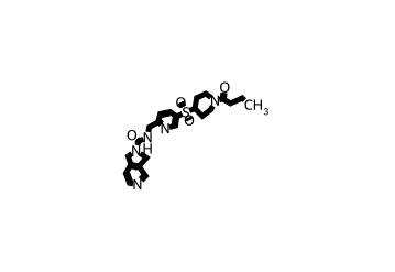 CCCC(=O)N1CCC(S(=O)(=O)c2ccc(CNC(=O)N3Cc4ccncc4C3)nc2)CC1